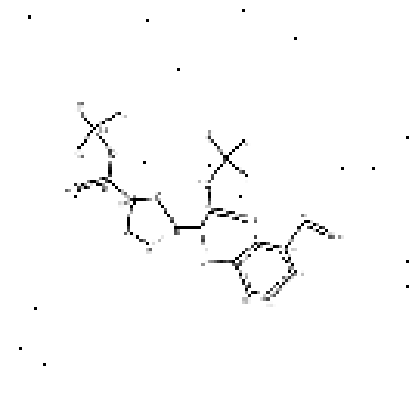 CC(C)(C)OC(=O)[C@H](Cc1cccc(C=O)c1)[C@@H]1CCN(C(=O)OC(C)(C)C)C1